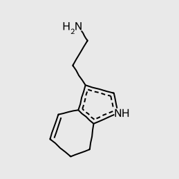 NCCc1c[nH]c2c1C=CCC2